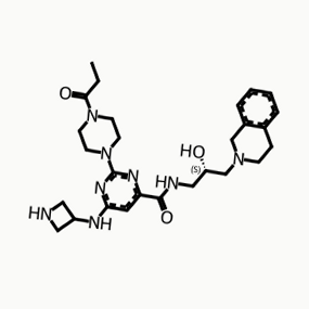 CCC(=O)N1CCN(c2nc(NC3CNC3)cc(C(=O)NC[C@H](O)CN3CCc4ccccc4C3)n2)CC1